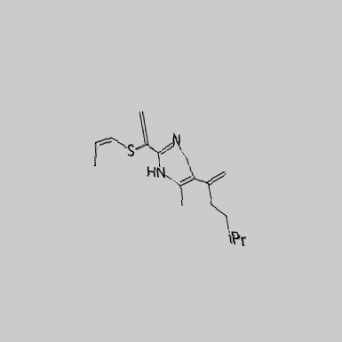 C=C(CCC(C)C)C1=C(C)NC(C(=C)S/C=C\C)=NC1